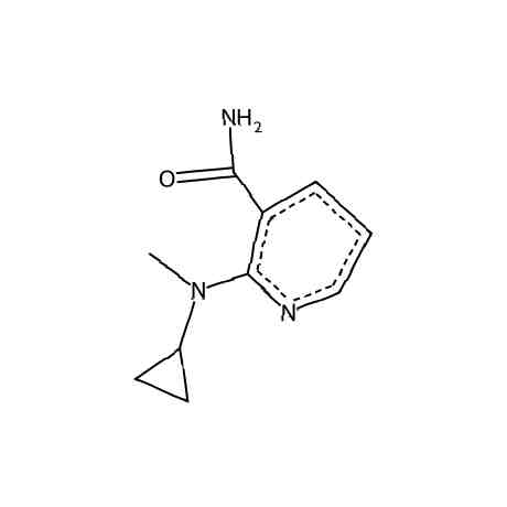 CN(c1ncccc1C(N)=O)C1CC1